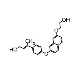 CC(=CCO)c1ccc(Oc2ccc3ccc(OCCO)cc3c2)cc1